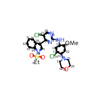 CCS(=O)(=O)n1cc(-c2nc(Nc3cc(Cl)c(N4CCOCC4)cc3OC)ncc2Cl)c2ccccc21